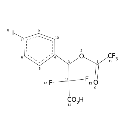 O=C(OC(c1ccc(I)cc1)C(F)(F)C(=O)O)C(F)(F)F